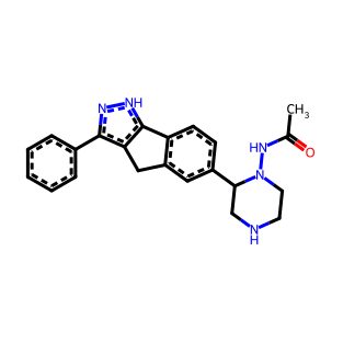 CC(=O)NN1CCNCC1c1ccc2c(c1)Cc1c(-c3ccccc3)n[nH]c1-2